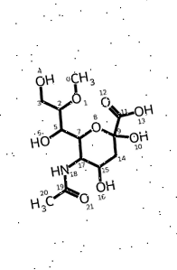 COC(CO)C(O)C1OC(O)(C(=O)O)CC(O)C1NC(C)=O